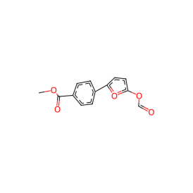 COC(=O)c1ccc(-c2ccc(OC=O)o2)cc1